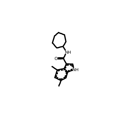 Cc1cc(C)c2c(C(=O)NC3CCCCCC3)c[nH]c2c1